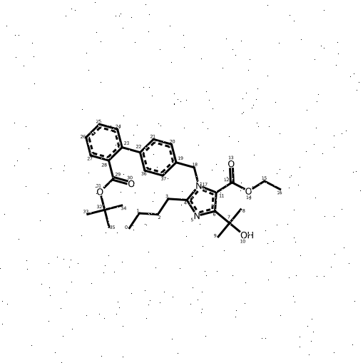 CCCCc1nc(C(C)(C)O)c(C(=O)OCC)n1Cc1ccc(-c2ccccc2C(=O)OC(C)(C)C)cc1